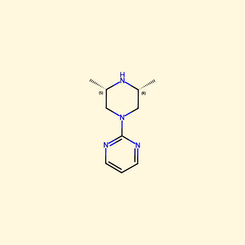 C[C@@H]1CN(c2ncccn2)C[C@H](C)N1